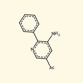 CC(=O)c1cnc(-c2ccccc2)c(N)c1